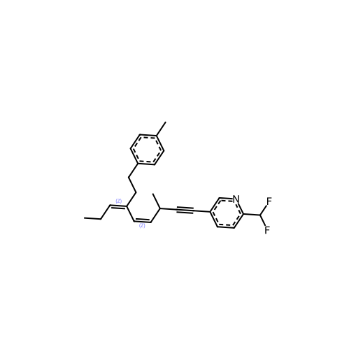 CC/C=C(\C=C/C(C)C#Cc1ccc(C(F)F)nc1)CCc1ccc(C)cc1